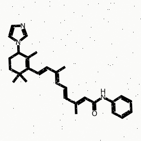 CC(C=CC1=C(C)C(n2ccnc2)CCC1(C)C)=CC=CC(C)=CC(=O)Nc1ccccc1